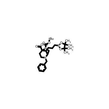 COC(=O)C12CCN(Cc3ccccc3)C(CN1C(=O)OC(C)(C)C)C2CCCB1OC(C)(C)C(C)(C)O1